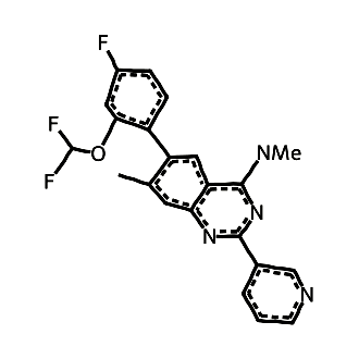 CNc1nc(-c2cccnc2)nc2cc(C)c(-c3ccc(F)cc3OC(F)F)cc12